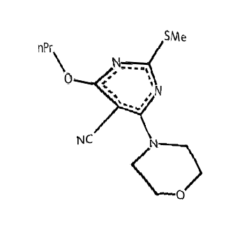 CCCOc1nc(SC)nc(N2CCOCC2)c1C#N